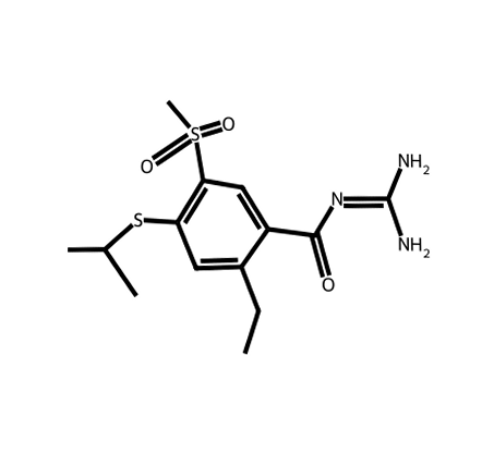 CCc1cc(SC(C)C)c(S(C)(=O)=O)cc1C(=O)N=C(N)N